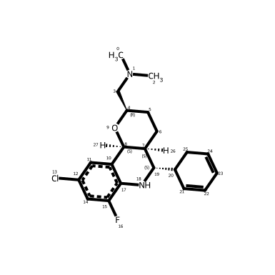 CN(C)C[C@H]1CC[C@@H]2[C@H](O1)c1cc(Cl)cc(F)c1N[C@H]2C1C=CC=CC1